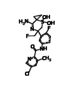 Cc1cc(Cl)cnc1C(=O)Nc1ccc(F)c(C2(CF)CS(O)(O)C3(CC3)C(N)=N2)c1